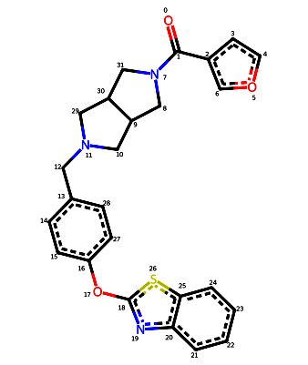 O=C(c1ccoc1)N1CC2CN(Cc3ccc(Oc4nc5ccccc5s4)cc3)CC2C1